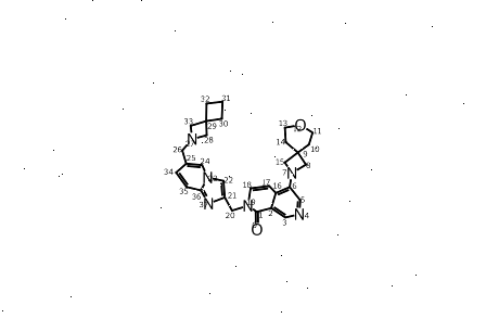 O=c1c2cncc(N3CC4(CCOCC4)C3)c2ccn1Cc1cn2cc(CN3CC4(CCC4)C3)ccc2n1